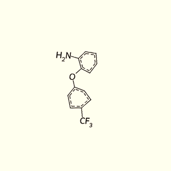 Nc1ccccc1Oc1ccc(C(F)(F)F)cc1